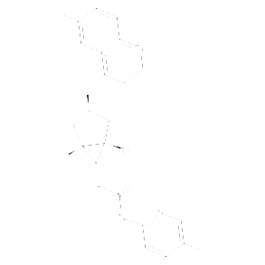 CC(C(=O)Nc1ccc(Cl)cn1)[C@@H]1[C@@H]2C[C@@H](Oc3ccnc4ccc(F)cc34)C[C@@H]21